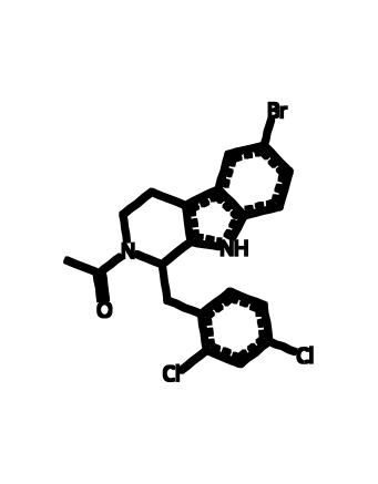 CC(=O)N1CCc2c([nH]c3ccc(Br)cc23)C1Cc1ccc(Cl)cc1Cl